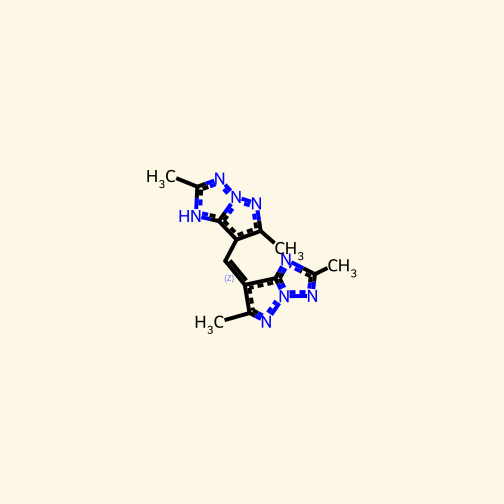 Cc1nc2/c(=C\c3c(C)nn4nc(C)[nH]c34)c(C)nn2n1